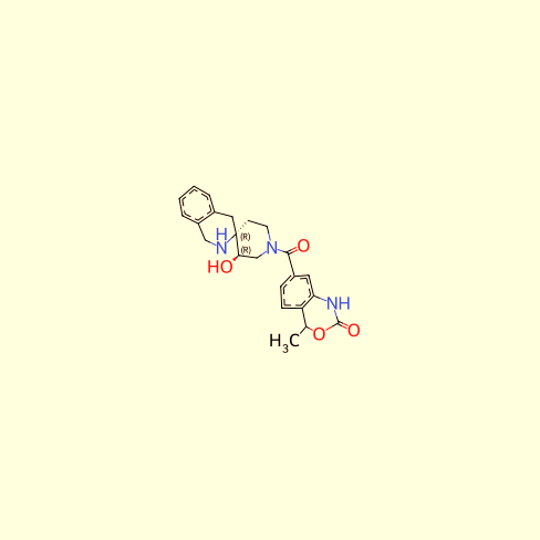 CC1OC(=O)Nc2cc(C(=O)N3CC[C@]4(Cc5ccccc5CN4)[C@H](O)C3)ccc21